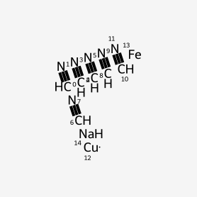 C#N.C#N.C#N.C#N.C#N.C#N.[Cu].[Fe].[NaH]